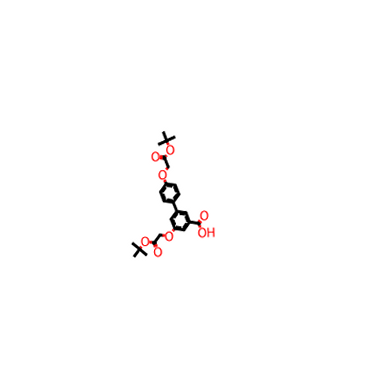 CC(C)(C)OC(=O)COc1ccc(-c2cc(OCC(=O)OC(C)(C)C)cc(C(=O)O)c2)cc1